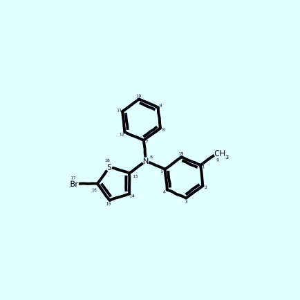 Cc1cccc(N(c2ccccc2)c2ccc(Br)s2)c1